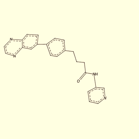 O=C(CCCc1ccc(-c2ccc3nccnc3c2)cc1)Nc1cccnc1